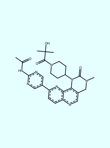 CC(=O)Nc1ncc(-c2ccc3ncc4c(c3n2)N(C2CCN(C(=O)C(C)(C)O)CC2)C(=O)N(C)C4)cn1